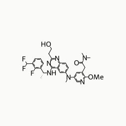 COc1ncc(N(C)c2ccc3nc(CCO)nc(N[C@H](C)c4cccc(C(F)F)c4F)c3c2)cc1CC(=O)N(C)C